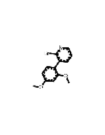 COc1ccc(-c2cccnc2Br)c(OC)c1